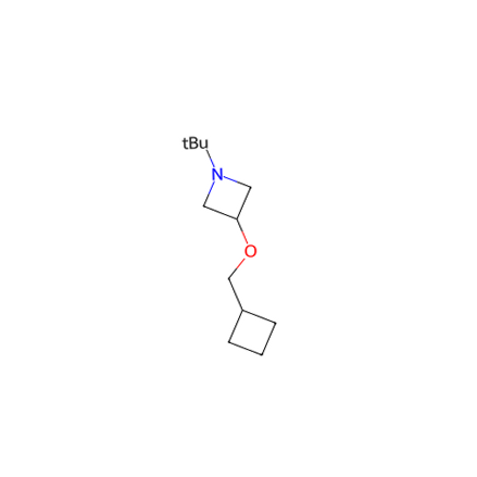 CC(C)(C)N1CC(OCC2CCC2)C1